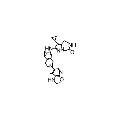 Cc1c(N2CCc3cnc(Nc4nn5c(c4C4CC4)CCNC(=O)C5)cc3C2)cnc2c1NCCO2